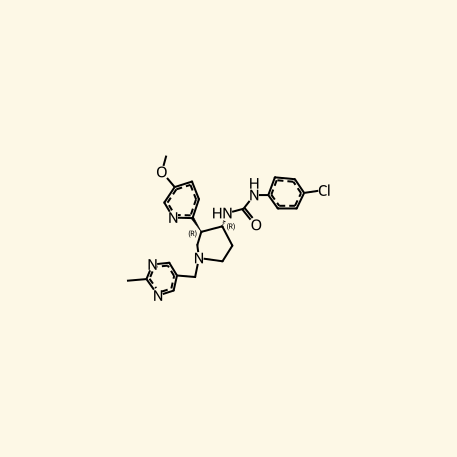 COc1ccc([C@@H]2CN(Cc3cnc(C)nc3)CC[C@H]2NC(=O)Nc2ccc(Cl)cc2)nc1